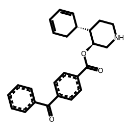 O=C(O[C@@H]1CNCCC1[C@H]1C=CC=CC1)c1ccc(C(=O)c2ccccc2)cc1